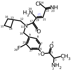 CC(N)C(=O)Oc1ccc(CN(CC2CCC2)C(=O)/C(N)=C/C(=N)Cl)c(F)c1